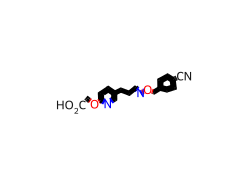 N#Cc1ccc(CON=CCCc2ccc(OCC(=O)O)nc2)cc1